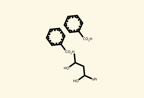 CCCC(O)CC(C)O.O=C(O)c1ccccc1.O=C(O)c1ccccc1